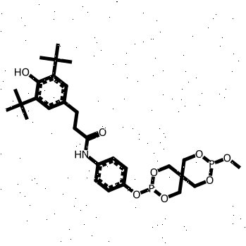 COP1OCC2(CO1)COP(Oc1ccc(NC(=O)CCc3cc(C(C)(C)C)c(O)c(C(C)(C)C)c3)cc1)OC2